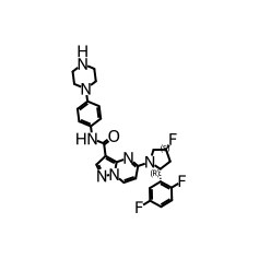 O=C(Nc1ccc(N2CCNCC2)cc1)c1cnn2ccc(N3C[C@@H](F)C[C@@H]3c3cc(F)ccc3F)nc12